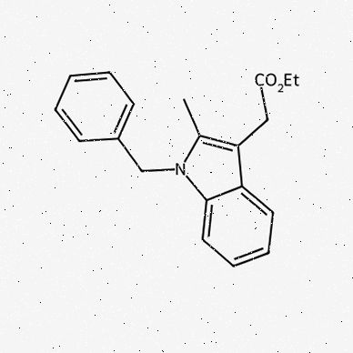 CCOC(=O)Cc1c(C)n(Cc2ccccc2)c2ccccc12